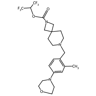 Cc1cc(N2CCOCC2)ccc1CN1CCC2(CC1)CN(C(=O)OC(C(F)(F)F)C(F)(F)F)C2